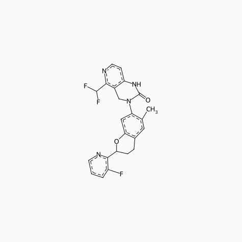 Cc1cc2c(cc1N1Cc3c(ccnc3C(F)F)NC1=O)OC(c1ncccc1F)CC2